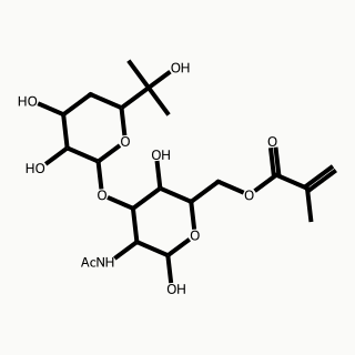 C=C(C)C(=O)OCC1OC(O)C(NC(C)=O)C(OC2OC(C(C)(C)O)CC(O)C2O)C1O